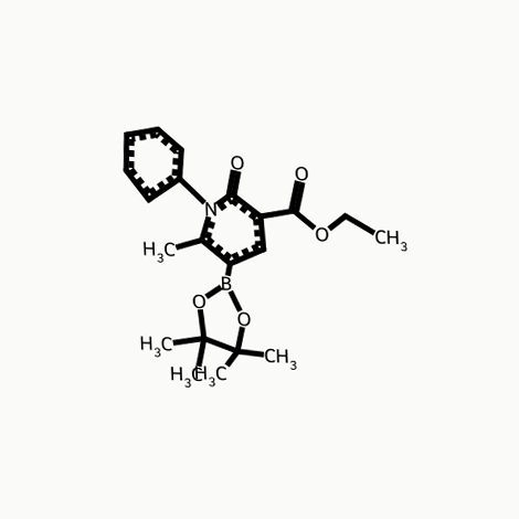 CCOC(=O)c1cc(B2OC(C)(C)C(C)(C)O2)c(C)n(-c2ccccc2)c1=O